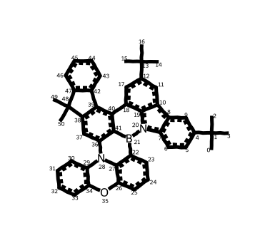 CC(C)(C)c1ccc2c(c1)c1cc(C(C)(C)C)cc3c1n2B1c2cccc4c2N(c2ccccc2O4)c2cc4c(c-3c21)-c1ccccc1C4(C)C